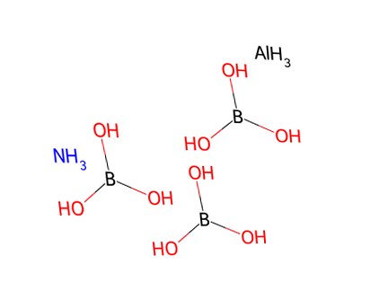 N.OB(O)O.OB(O)O.OB(O)O.[AlH3]